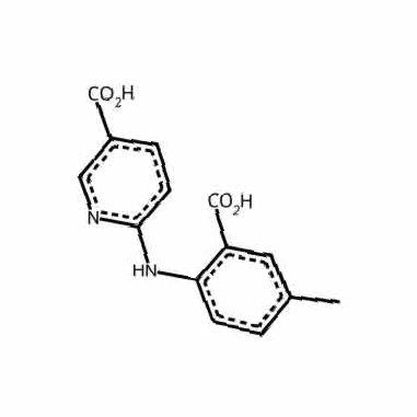 Cc1ccc(Nc2ccc(C(=O)O)cn2)c(C(=O)O)c1